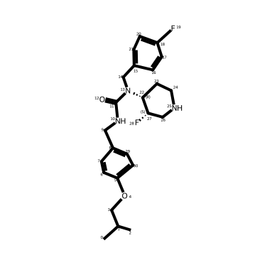 CC(C)COc1ccc(CNC(=O)N(Cc2ccc(F)cc2)[C@@H]2CCNC[C@@H]2F)cc1